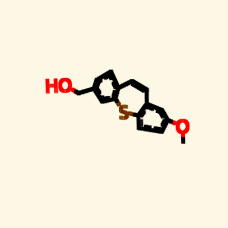 COc1ccc2c(c1)C=Cc1ccc(CO)cc1S2